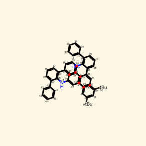 CC(C)(C)c1cc(-c2cc(Nc3c(-c4ccccc4)cccc3-c3ccccc3)cc(Nc3c(-c4ccccc4)cccc3-c3ccccc3)c2)cc(C(C)(C)C)c1